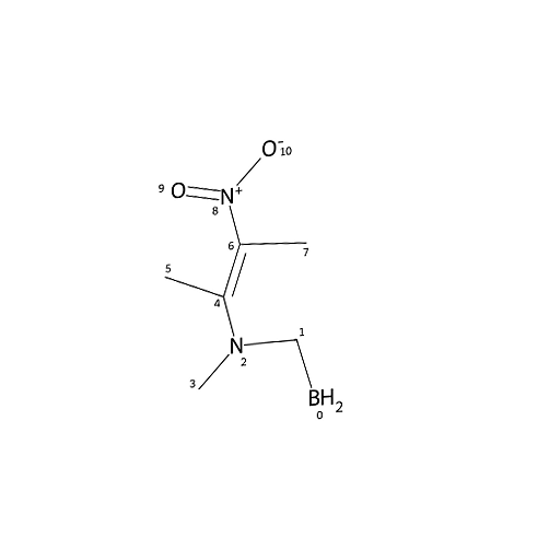 BCN(C)/C(C)=C(\C)[N+](=O)[O-]